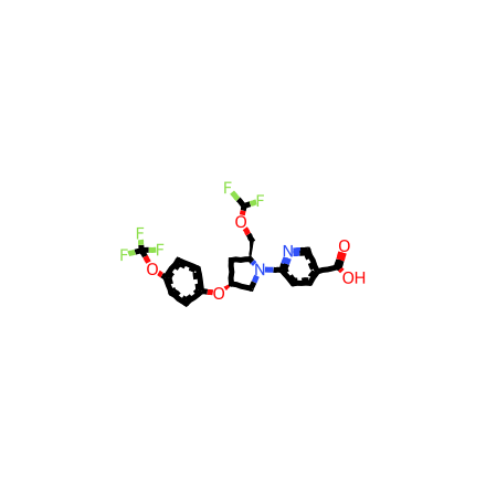 O=C(O)c1ccc(N2C[C@@H](Oc3ccc(OC(F)(F)F)cc3)C[C@H]2COC(F)F)nc1